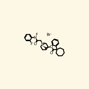 O=C(C[N+]12CCC(CC1)C(OC(=O)C1(c3ccccc3)CCCCCC1)C2)N(F)c1ccccc1F.[Br-]